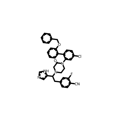 N#Cc1ccc(CC(c2cnc[nH]2)N2CCN(c3cc(Cl)ccc3-c3ccccc3OCc3ccccc3)C(=O)C2)cc1F